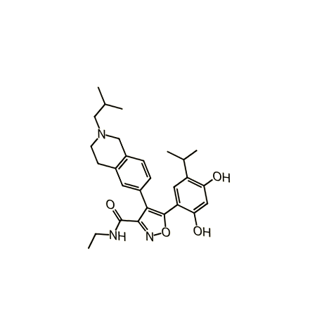 CCNC(=O)c1noc(-c2cc(C(C)C)c(O)cc2O)c1-c1ccc2c(c1)CCN(CC(C)C)C2